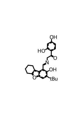 CC(C)(C)c1cc2oc3c(c2c(/C=N/CC(=O)c2ccc(O)cc2O)c1O)CCCC3